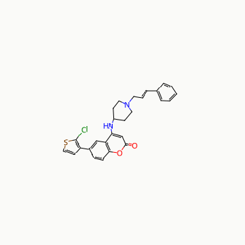 O=c1cc(NC2CCN(CC=Cc3ccccc3)CC2)c2cc(-c3ccsc3Cl)ccc2o1